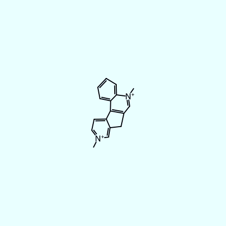 C[n+]1ccc2c(c1)Cc1c[n+](C)c3ccccc3c1-2